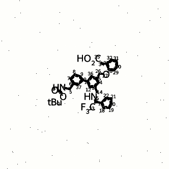 CC(C)(C)OC(=O)NCc1cccc(-c2cc(CNC(c3ccccc3)C(F)(F)F)cc(COc3ccccc3CC(=O)O)c2)c1